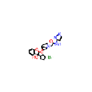 O=C(C[N+]12CCC(CC1)C(OC(=O)[C@](O)(c1ccccc1)C1CCCC1)C2)Nc1ccncn1.[Br-]